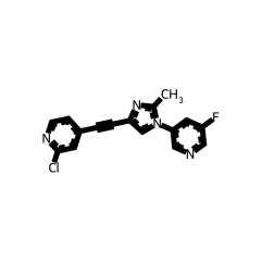 Cc1nc(C#Cc2ccnc(Cl)c2)cn1-c1cncc(F)c1